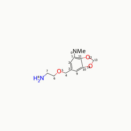 CNc1cc(COCCN)cc2c1OCO2